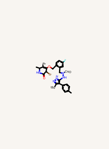 Cc1ccc(-c2c(C(C)(C)C)n[nH]c2NN(C=O)Cc2cc(F)ccc2COC2=C(C(C)C)C(C)NC(=O)C2Br)cc1